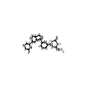 Cc1cncc(-c2cc3c(cn2)cnn3-c2cccc(N3C[C@@H](N)C[C@@H](F)C3)n2)n1